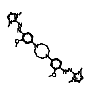 COc1cc(N2CCCN(c3ccc(N=Nc4n(C)cc[n+]4C)c(OC)c3)CCC2)ccc1N=Nc1n(C)cc[n+]1C